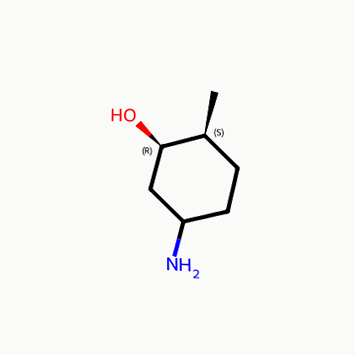 C[C@H]1CCC(N)C[C@H]1O